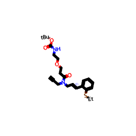 C#CCN(C/C=C/c1ccccc1SCC)C(=O)CCOCCNC(=O)OC(C)(C)C